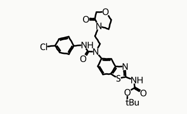 CC(C)(C)OC(=O)Nc1nc2cc(N(CCN3CCOCC3=O)C(=O)Nc3ccc(Cl)cc3)ccc2s1